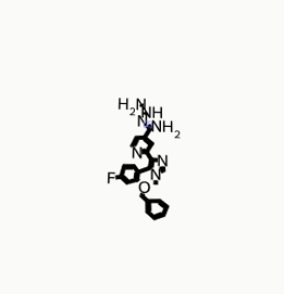 Cn1cnc(-c2cc(/C(N)=N/NN)ccn2)c1-c1ccc(F)cc1OCc1ccccc1